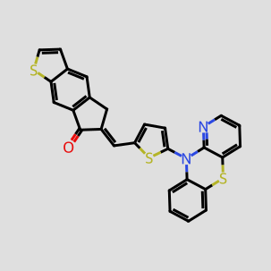 O=C1/C(=C/c2ccc(N3c4ccccc4Sc4cccnc43)s2)Cc2cc3ccsc3cc21